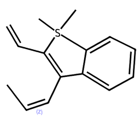 C=CC1=C(/C=C\C)c2ccccc2S1(C)C